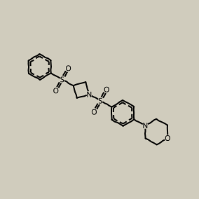 O=S(=O)(c1ccccc1)C1CN(S(=O)(=O)c2ccc(N3CCOCC3)cc2)C1